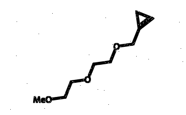 COCCOCCOCC1=CC1